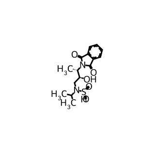 CC(C)N(C[C@H](O)[C@H](C)N1C(=O)c2ccccc2C1=O)[SH](=O)=O